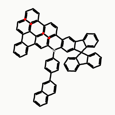 c1ccc(-c2ccc(-c3cc4c(cc3N(c3ccc(-c5ccc6ccccc6c5)cc3)c3ccc5c6ccccc6c6ccccc6c5c3)C3(c5ccccc5-c5ccccc53)c3ccccc3-4)cc2)cc1